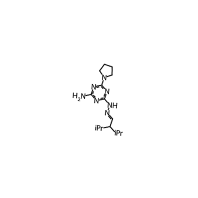 CC(C)C(C=NNc1nc(N)nc(N2CCCC2)n1)C(C)C